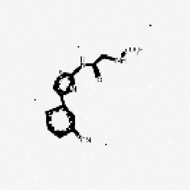 N#Cc1cccc(-c2csc(NC(=O)CNC(=O)O)n2)c1